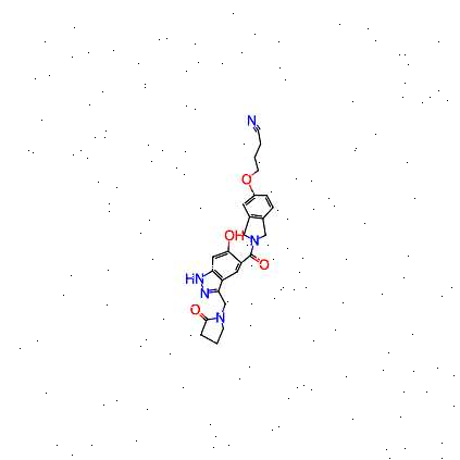 N#CCCCOc1ccc2c(c1)CN(C(=O)c1cc3c(CN4CCCC4=O)n[nH]c3cc1O)C2